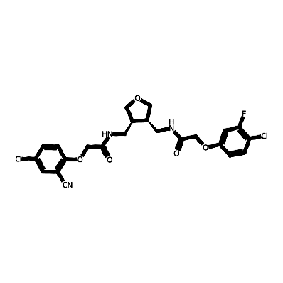 N#Cc1cc(Cl)ccc1OCC(=O)NC[C@H]1COC[C@H]1CNC(=O)COc1ccc(Cl)c(F)c1